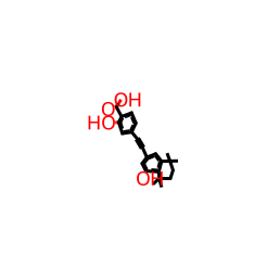 CC1(C)CCC(C)(C)c2c(O)cc(C#Cc3ccc(C(=O)O)c(O)c3)cc21